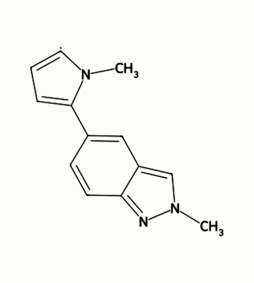 Cn1cc2cc(-c3cc[c]n3C)ccc2n1